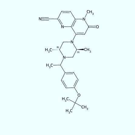 CC(c1ccc(OC(C)(C)C)cc1)N1C[C@H](C)N(c2cc(=O)n(C)c3ccc(C#N)nc23)C[C@H]1C